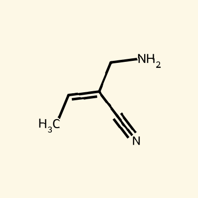 CC=C(C#N)CN